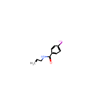 C=CCNC(=O)c1ccc([131I])cc1